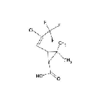 CC1(C)C(/C=C(/Cl)C(F)(F)F)C1C(=O)O